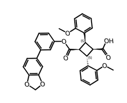 COc1ccccc1[C@H]1[C@H](C(=O)O)[C@H](c2ccccc2OC)[C@@H]1C(=O)Oc1cccc(-c2ccc3c(c2)OCO3)c1